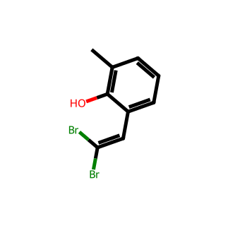 Cc1cccc(C=C(Br)Br)c1O